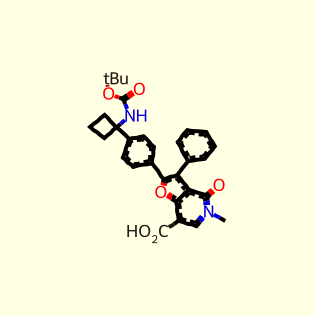 Cn1cc(C(=O)O)c2oc(-c3ccc(C4(NC(=O)OC(C)(C)C)CCC4)cc3)c(-c3ccccc3)c2c1=O